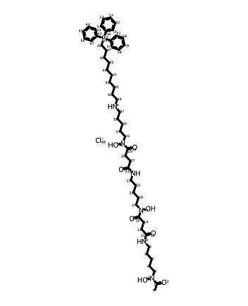 CC(=O)N(O)CCCCCNC(=O)CCC(=O)N(O)CCCCCNC(=O)CCC(=O)N(O)CCCCCNCCCCCCCCCC[P+](c1ccccc1)(c1ccccc1)c1ccccc1.[Cl-]